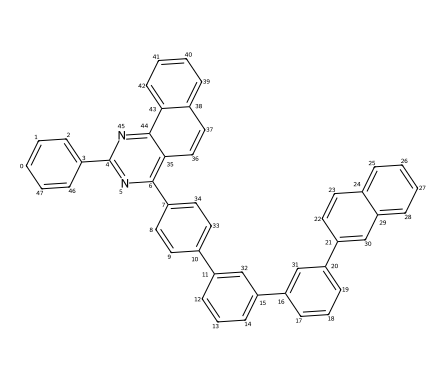 c1ccc(-c2nc(-c3ccc(-c4cccc(-c5cccc(-c6ccc7ccccc7c6)c5)c4)cc3)c3ccc4ccccc4c3n2)cc1